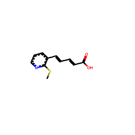 CSc1ncccc1C=CC=CC(=O)O